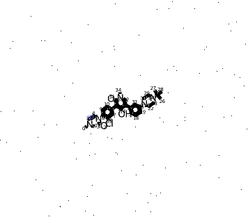 CN(C)/C=C\N(C=O)c1ccc(-c2c(O)c(-c3cccc(N4CCN(C(C)(C)C)CC4)c3)cn(C)c2=O)cc1Cl